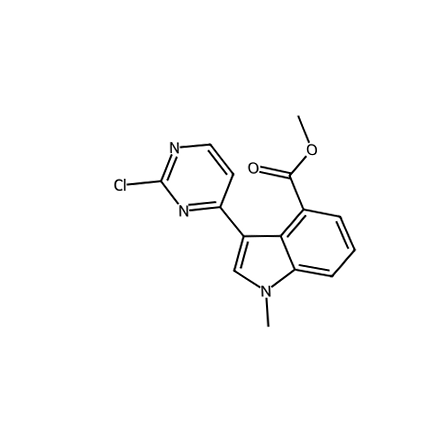 COC(=O)c1cccc2c1c(-c1ccnc(Cl)n1)cn2C